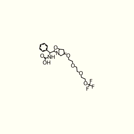 O=C(O)NC(c1ccccc1)C1OC2C[C@H](OCCOCCOCCOC(F)(F)F)CN21